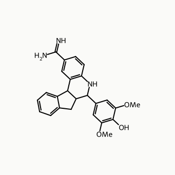 COc1cc(C2Nc3ccc(C(=N)N)cc3C3c4ccccc4CC23)cc(OC)c1O